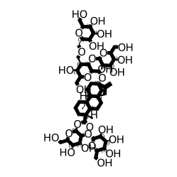 C=C1C[C@@]23CC[C@H]4[C@@](C)(CCC[C@@]4(C)C(=O)O[C@@H]4OC(CO)[C@@H](O)[C@@H](O)C4OC4OC(CO)[C@@H](O)[C@@H](O)[C@@H]4O)[C@@H]2CC[C@]1(OCC1OC(CO)[C@@H](O)[C@@H](COC[C@@H]2OC(CO)[C@@H](O)[C@@H](O)C2O)[C@@H]1OC1OC(CO)[C@@H](O)[C@@H](O)[C@@H]1O)C3